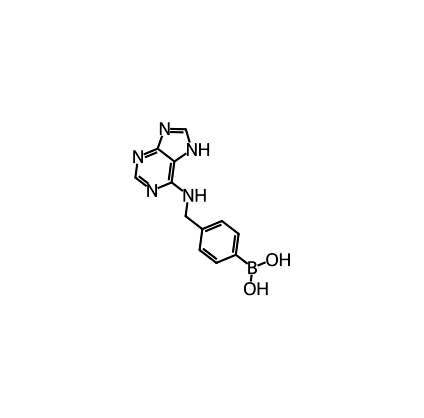 OB(O)c1ccc(CNc2ncnc3nc[nH]c23)cc1